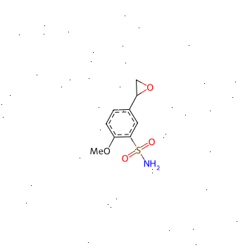 COc1ccc(C2CO2)cc1S(N)(=O)=O